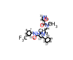 Cc1c(C(=O)Nc2cccc(C(F)(F)F)c2)cc(-c2ccccc2)n1CCCN(C)C(=O)c1ccno1